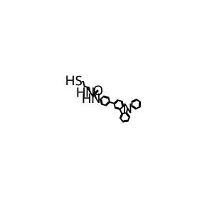 O=C(NCCCS)Nc1ccc(-c2ccc3c(c2)c2ccccc2n3-c2ccccc2)cc1